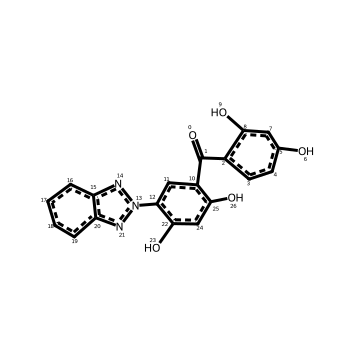 O=C(c1ccc(O)cc1O)c1cc(-n2nc3ccccc3n2)c(O)cc1O